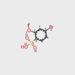 COc1cc(Br)ccc1S(=O)(=O)O